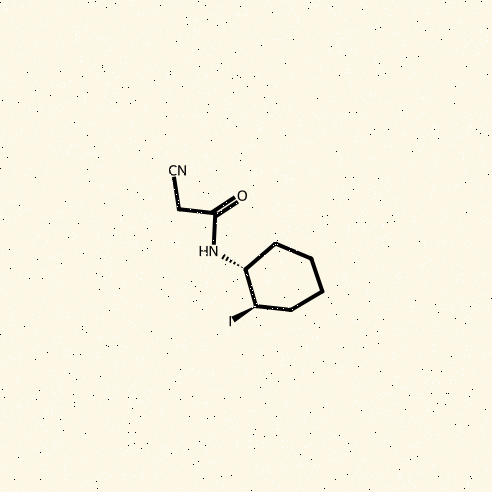 N#CCC(=O)N[C@@H]1CCCC[C@H]1I